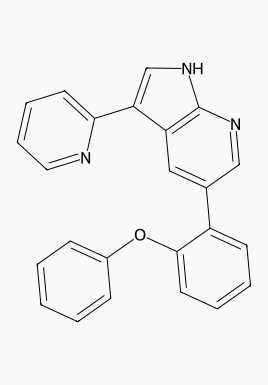 c1ccc(Oc2ccccc2-c2cnc3[nH]cc(-c4ccccn4)c3c2)cc1